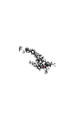 C=CCN1CC[C@]23c4c5ccc(O)c4OC2C(N(CC(C)C)C(=O)/C=C/c2cccc(OC(F)(F)F)c2)CC[C@@]3(OC(C)=O)[C@H]1C5